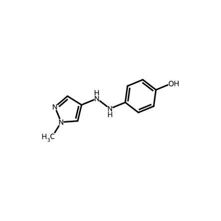 Cn1cc(NNc2ccc(O)cc2)cn1